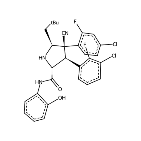 CC(C)(C)C[C@@H]1N[C@@H](C(=O)Nc2ccccc2O)[C@H](c2cccc(Cl)c2F)[C@@]1(C#N)c1ccc(Cl)cc1F